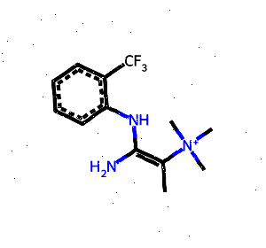 CC(=C(N)Nc1ccccc1C(F)(F)F)[N+](C)(C)C